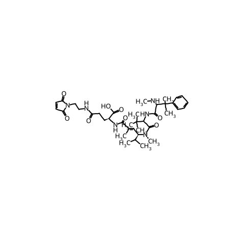 CN[C@H](C(=O)NC(C(=O)N(C)[C@H](/C=C(\C)C(=O)N[C@@H](CCC(=O)NCCN1C(=O)C=CC1=O)C(=O)O)C(C)C)C(C)(C)C)C(C)(C)c1ccccc1